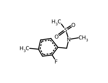 Cc1ccc(CN(C)S(C)(=O)=O)c(F)c1